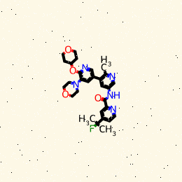 Cc1ncc(NC(=O)c2cc(C(C)(C)F)ccn2)cc1-c1cnc(OC2CCOCC2)c(N2CCOCC2)c1